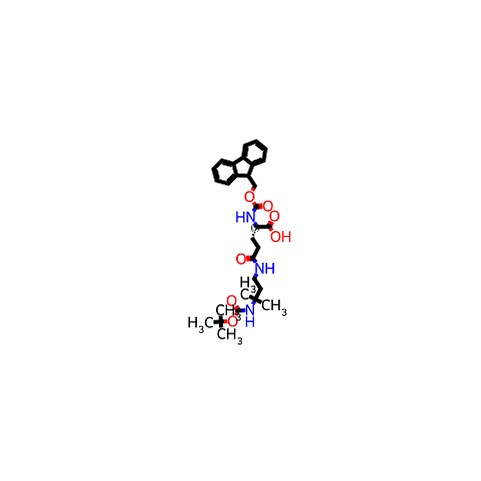 CC(C)(CCNC(=O)CC[C@H](NC(=O)OCC1c2ccccc2-c2ccccc21)C(=O)O)NC(=O)OC(C)(C)C